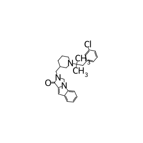 CC(C)(Cc1cccc(Cl)c1)N1CCCC(CN2Cn3c(cc4ccccc43)C2=O)C1